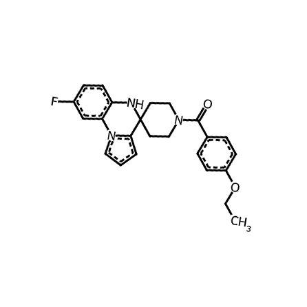 CCOc1ccc(C(=O)N2CCC3(CC2)Nc2ccc(F)cc2-n2cccc23)cc1